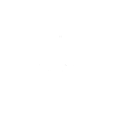 CCC1(CC)CC2(CC(C)(C)N1OC(C)c1ccc(O)cc1)OCC(C)(C)CO2